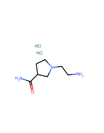 Cl.Cl.NCCN1CCC(C(N)=O)C1